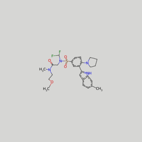 COCCN(C)C(=O)CN(C(F)F)S(=O)(=O)c1ccc(N2CCCC2)c(-c2cc3ccc(C)cc3[nH]2)c1